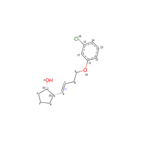 O[C@H]1CCC[C@H]1/C=C/CCOc1cccc(Cl)c1